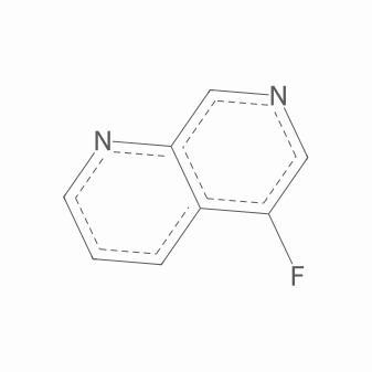 Fc1cncc2ncccc12